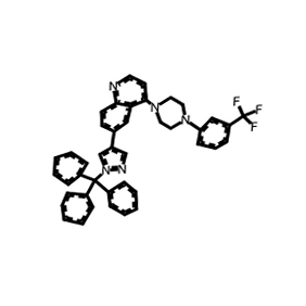 FC(F)(F)c1cccc(N2CCN(c3ccnc4ccc(-c5cnn(C(c6ccccc6)(c6ccccc6)c6ccccc6)c5)cc34)CC2)c1